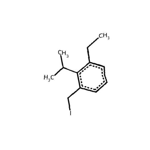 CCc1cccc(CI)c1C(C)C